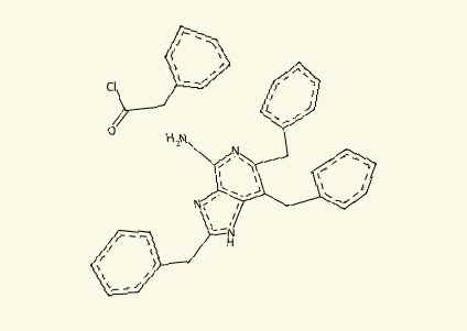 Nc1nc(Cc2ccccc2)c(Cc2ccccc2)c2[nH]c(Cc3ccccc3)nc12.O=C(Cl)Cc1ccccc1